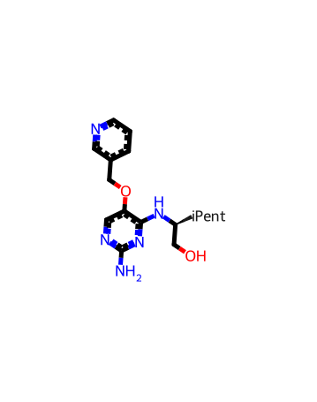 CCCC(C)[C@@H](CO)Nc1nc(N)ncc1OCc1cccnc1